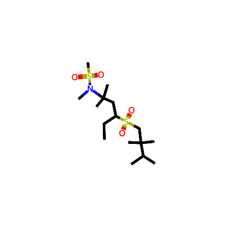 CCC(CC(C)(C)N(C)S(C)(=O)=O)S(=O)(=O)CC(C)(C)C(C)C